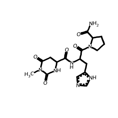 CN1C(=O)CC(C(=O)NC(Cc2cnc[nH]2)C(=O)N2CCCC2C(N)=O)NC1=O